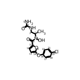 C[C@H](CNC(N)=O)N(O)C(=O)c1ccc(Oc2ccc(Cl)cc2)o1